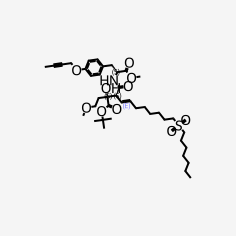 CC#CCOc1ccc(C[C@H](NC(=O)[C@@H](/C=C/CCCCCCS(=O)(=O)CCCCCCC)[C@@](O)(CCOC)C(=O)OC(C)(C)C)C(=O)OC)cc1